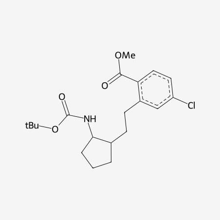 COC(=O)c1ccc(Cl)cc1CCC1CCCC1NC(=O)OC(C)(C)C